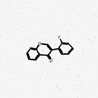 O=c1c(-c2ccccc2F)coc2ccccc12